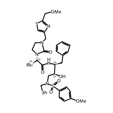 CC[C@H](C)[C@@H](C(=O)N[C@@H](Cc1ccccc1)[C@@H](O)CN(CC(C)C)S(=O)(=O)c1ccc(OC)cc1)N1CCN(Cc2csc(COC)n2)C1=O